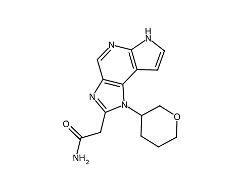 NC(=O)Cc1nc2cnc3[nH]ccc3c2n1C1CCCOC1